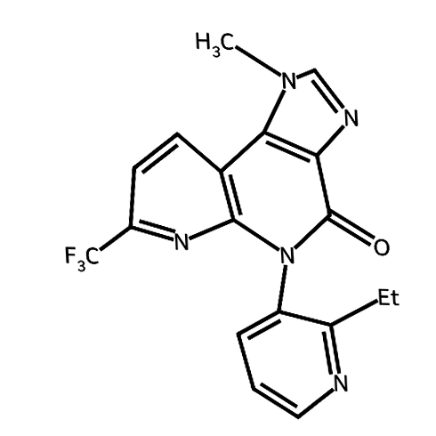 CCc1ncccc1-n1c(=O)c2ncn(C)c2c2ccc(C(F)(F)F)nc21